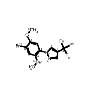 COc1cc(-n2cc(C(F)(F)F)cn2)c(BO)cc1Br